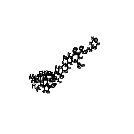 CS[C@]1(C)C[C@@H](OC(=O)NC(=O)C2CCN(c3cc4c(cc3F)c(=O)c(C(=O)OCCN3CCOCC3)cn4C3CC3)CC2)[C@@]2(C)C3C(=O)CCC3(CC[C@H]2C)[C@@H](C)[C@@H]1O